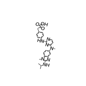 CC(C)Nc1nc2cc(N(C)c3ccnc(Nc4ccc(CS(=O)(=O)O)cc4)n3)ccc2n1C